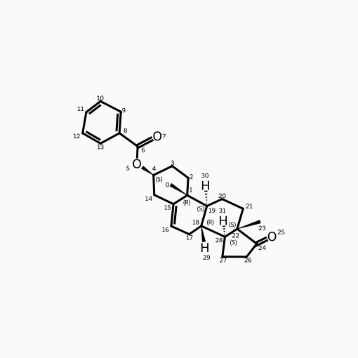 C[C@]12CC[C@H](OC(=O)c3ccccc3)CC1=CC[C@@H]1[C@@H]2CC[C@]2(C)C(=O)CC[C@@H]12